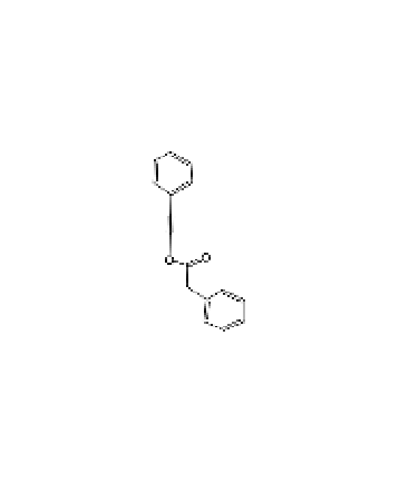 O=C(Cc1ccccc1)OC#Cc1ccccc1